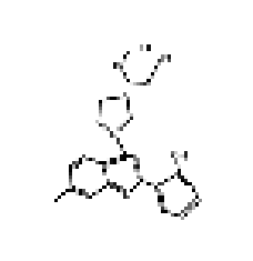 Cc1ccc2c(N3CC[C@H](C(CC(C)C)NC(=O)O)C3)nc(-c3ccccc3O)nc2c1